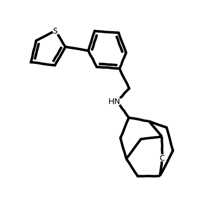 c1cc(CNC2CC3CC4CCC2C(C4)C3)cc(-c2cccs2)c1